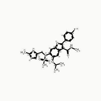 CNC(=O)c1c(-c2ccc(F)cc2)oc2cc(N(Cc3csc(C)n3)S(C)(=O)=O)c(OC(C)C)cc12